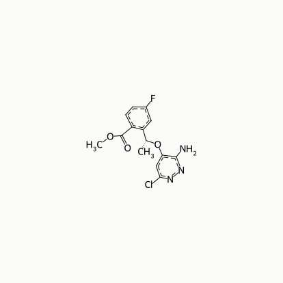 COC(=O)c1ccc(F)cc1[C@@H](C)Oc1cc(Cl)nnc1N